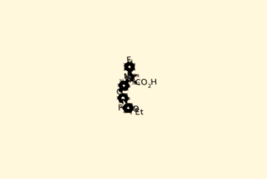 CCOc1ccc(F)c(N2CCC(Oc3ccc(N4N=C(c5ccc(F)cc5)[C@@H](C)[C@@H]4CC(=O)O)cc3)CC2)c1